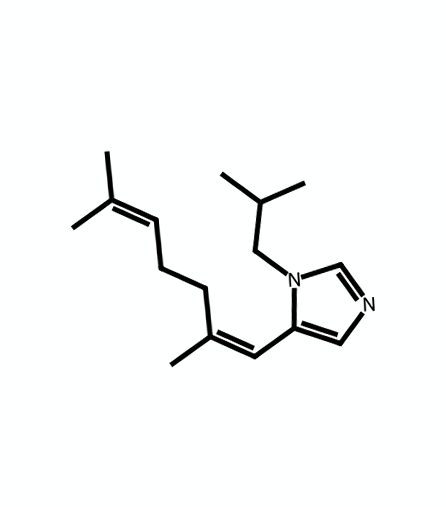 CC(C)=CCCC(C)=Cc1cncn1CC(C)C